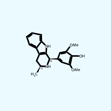 COc1cc([C@H]2N[C@@H](C)Cc3c2[nH]c2ccccc32)cc(OC)c1O